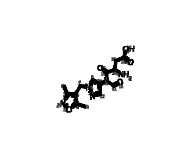 Cc1noc(C)c1Cn1cc(N(C=O)C(=O)C(N)CC(=O)O)cn1